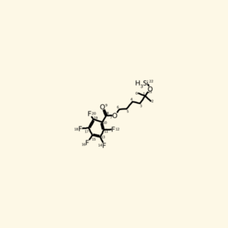 CC(C)(CCCCOC(=O)c1c(F)c(F)c(F)c(F)c1F)O[SiH3]